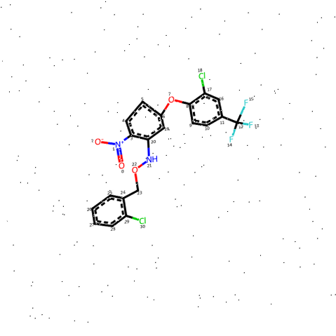 O=[N+]([O-])c1ccc(Oc2ccc(C(F)(F)F)cc2Cl)cc1NOCc1ccccc1Cl